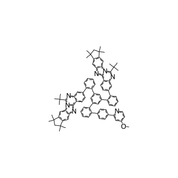 COc1ccnc(-c2ccc(-c3ccccc3-c3cc(-c4ccccc4-c4ccc5c(c4)nc(C(C)(C)C)n4c6cc7c(cc6nc54)C(C)(C)CC7(C)C)cc(-c4ccccc4-c4ccc5c(c4)nc(C(C)(C)C)n4c6cc7c(cc6nc54)C(C)(C)CC7(C)C)c3)cc2)c1